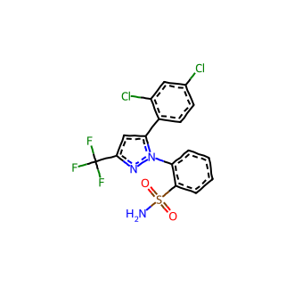 NS(=O)(=O)c1ccccc1-n1nc(C(F)(F)F)cc1-c1ccc(Cl)cc1Cl